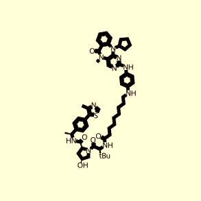 Cc1ncsc1-c1ccc([C@H](C)NC(=O)[C@@H]2C[C@@H](O)CN2C(=O)[C@@H](NC(=O)CCCCCCCCNc2ccc(Nc3ncc4c(n3)N(C3CCCC3)c3ccccc3C(=O)N4C)cc2)C(C)(C)C)cc1